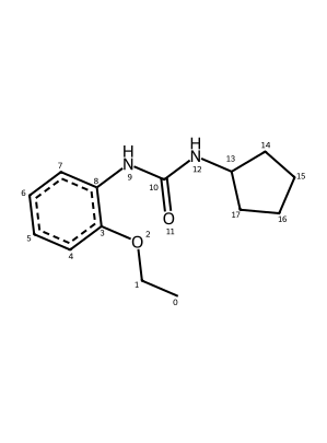 CCOc1ccccc1NC(=O)NC1CCCC1